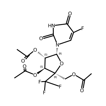 CC(=O)OC[C@@]1(C(F)(F)F)O[C@@H](n2cc(F)c(=O)[nH]c2=O)[C@@H](OC(C)=O)[C@@H]1OC(C)=O